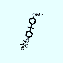 COc1ccc(C(C)(C)c2ccc(OOS(C)(=O)=O)cc2)cc1